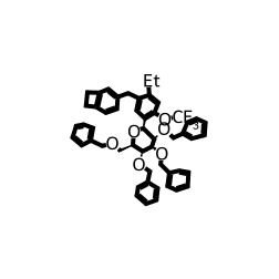 CCc1cc(OC(F)(F)F)c([C@@H]2O[C@H](COCc3ccccc3)[C@@H](OCc3ccccc3)[C@H](OCc3ccccc3)[C@H]2OCc2ccccc2)cc1Cc1ccc2c(c1)CC2